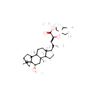 CC[Si](CC)(CC)OC(=C[C@@H](C)[C@H]1CC[C@H]2[C@@H]3C[C@@H](OC)[C@]45C[C@@H]4CC[C@]5(C)[C@H]3CC[C@]12C)C(=O)OC